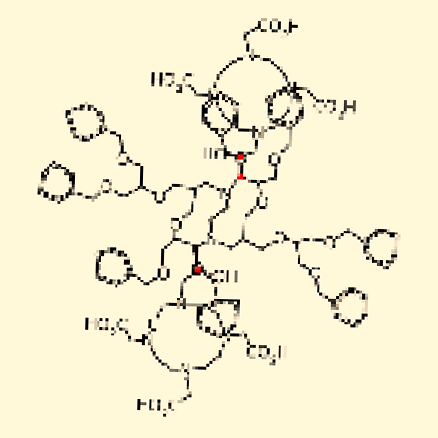 O=C(O)CN1CCN(CC(=O)O)CCN(CC(O)CN(CCN(CC(O)CN2CCN(CC(=O)O)CCN(CC(=O)O)CCN(CC(=O)O)CC2)CC(COC(COCc2ccccc2)COCc2ccccc2)COC(COCc2ccccc2)COCc2ccccc2)CC(COC(COCc2ccccc2)COCc2ccccc2)COC(COCc2ccccc2)COCc2ccccc2)CCN(CC(=O)O)CC1